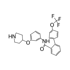 O=C(Nc1cccc(OC2CCNCC2)c1)c1ccccc1-c1ccc(OC(F)(F)F)cc1